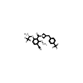 COc1c(C#N)ccc(O[C@@H](C)C(F)(F)F)c1C(=O)N1CC(Cc2ccc(C(F)(F)F)cc2)C1